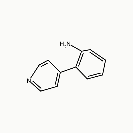 Nc1[c]cccc1-c1ccncc1